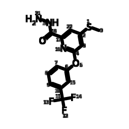 CSc1cc(Oc2cccc(C(F)(F)F)c2)nc(C(=O)NN)c1